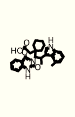 Cc1cccc2[nH]cc(C(C)C(n3c(=O)[nH]c4ccccc4c3=O)C3(CC(=O)O)CCCCC3)c12